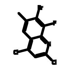 Cc1cc2c(Cl)cc(Cl)nc2c(F)c1Br